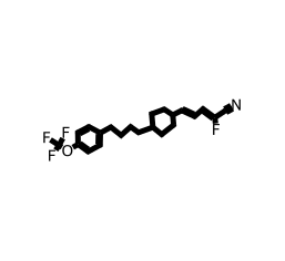 N#CC(F)=CC=CC1CCC(CCCCc2ccc(OC(F)(F)F)cc2)CC1